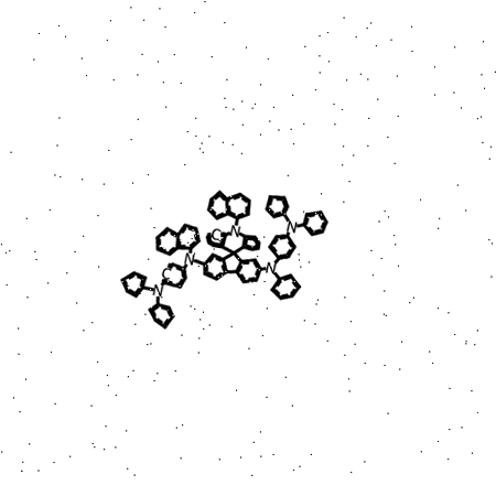 c1ccc(N(c2ccccc2)c2ccc(N(c3ccccc3)c3ccc4c(c3)C3(c5cc(N(c6ccc(N(c7ccccc7)c7ccccc7)cc6)c6cccc7ccccc67)ccc5-4)c4ccccc4N(c4cccc5ccccc45)c4ccccc43)cc2)cc1